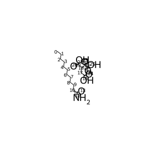 CCCCCCCCCCCC(N)=O.O=C(O)CC(C(=O)O)S(=O)(=O)O